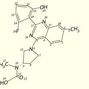 Cc1ccc2c(N3CC[C@H](N(C)C(=O)O)C3)nc(-c3c(O)cccc3F)nc2c1